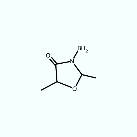 BN1C(=O)C(C)OC1C